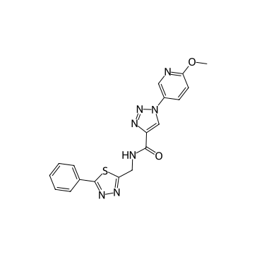 COc1ccc(-n2cc(C(=O)NCc3nnc(-c4ccccc4)s3)nn2)cn1